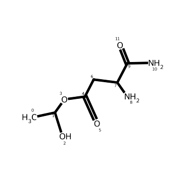 CC(O)OC(=O)CC(N)C(N)=O